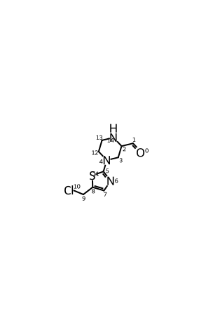 O=CC1CN(c2ncc(CCl)s2)CCN1